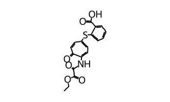 CCOC(=O)C(=O)Nc1ccc(Sc2ccccc2C(=O)O)ccc1=O